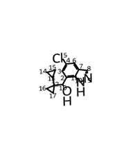 OC(c1cc(Cl)cc2cn[nH]c12)C1(C2CC2)CC1